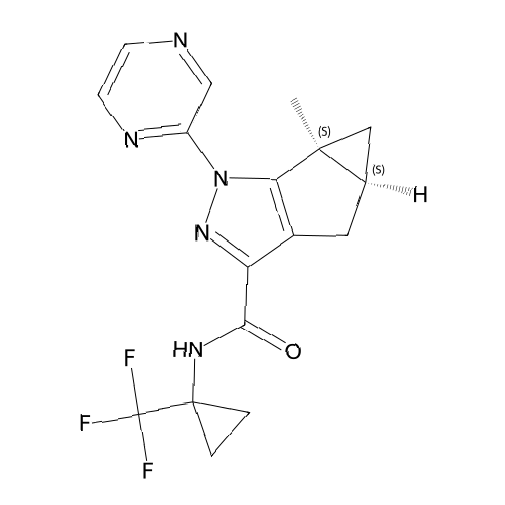 C[C@]12C[C@H]1Cc1c(C(=O)NC3(C(F)(F)F)CC3)nn(-c3cnccn3)c12